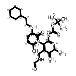 C=C1C(CNC=O)=C(n2c(C)ccc(NCCC3CCCCC3)c2=O)C(NC(=O)OC(C)(C)C)=NC1C